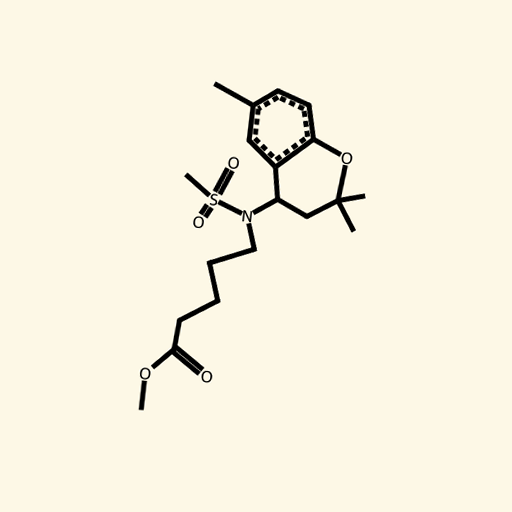 COC(=O)CCCCN(C1CC(C)(C)Oc2ccc(C)cc21)S(C)(=O)=O